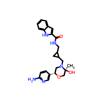 C[C@]1(O)CO[C@H](c2ccc(N)nc2)CN1CC1CC1CNC(=O)c1cc2ccccc2[nH]1